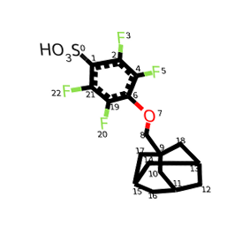 O=S(=O)(O)c1c(F)c(F)c(OCC23CC4CC(CC(C4)C2)C3)c(F)c1F